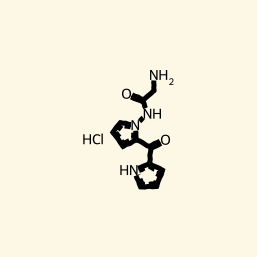 Cl.NCC(=O)Nn1cccc1C(=O)c1ccc[nH]1